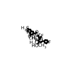 COc1cc(C(=O)NC[C@@](O)(c2nc(-c3ccc(F)cc3)cc(C(C)(C)O)c2F)C(F)(F)F)cc2cc(C)nnc12